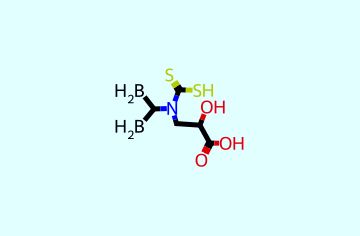 BC(B)N(CC(O)C(=O)O)C(=S)S